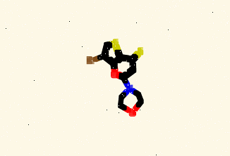 S=c1cc(N2CCOCC2)oc2c(Br)csc12